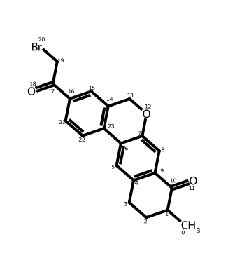 CC1CCc2cc3c(cc2C1=O)OCc1cc(C(=O)CBr)ccc1-3